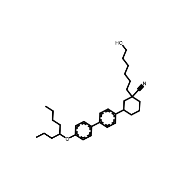 CCCCC(CCC)Oc1ccc(-c2ccc(C3CCCC(C#N)(CCCCCCO)C3)cc2)cc1